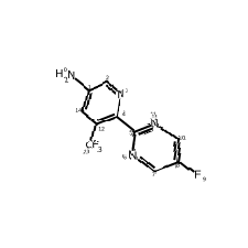 Nc1cnc(-c2ncc(F)cn2)c(C(F)(F)F)c1